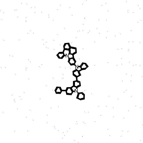 c1ccc(-c2ccc3c(c2)c2cc(-c4ccc5c(c4)c4ccccc4n5-c4ccc5c(c4)c4ccccc4n5-c4ccccc4-c4ccccc4)ccc2n3-c2ccccc2)cc1